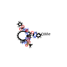 COc1ccc2nc(C(F)(F)F)c(O[C@@H]3C[C@H]4C(=O)N[C@]5(C(=O)NS(=O)(=O)C6CC6)C[C@H]5/C=C\CCCCC[C@H](NC(=O)OC5CCCC5)C(=O)N4C3)nc2c1